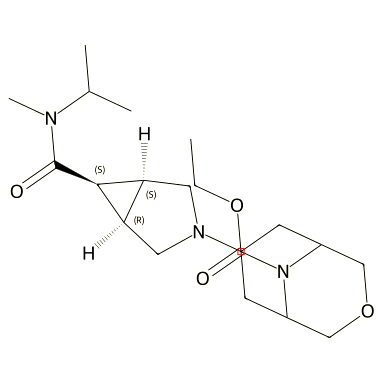 CCOC(=O)N1C2COCC1CC(N1C[C@@H]3[C@H](C1)[C@@H]3C(=O)N(C)C(C)C)C2